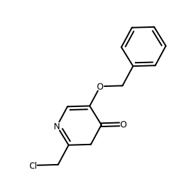 O=C1CC(CCl)=NC=C1OCc1ccccc1